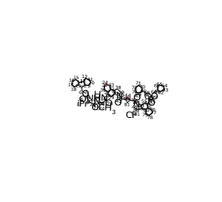 CC(C)[C@H](NC(=O)OCC1c2ccccc2-c2ccccc21)C(=O)N[C@@H](C)C(=O)Nc1cc2c(c3ccccc13)CCN2C(=O)C12CC(C(=O)N3C[C@@H](CCl)c4c3cc(OP(OCc3ccccc3)OCc3ccccc3)c3ccccc43)(C1)C2